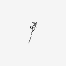 C#CC(CCC)(COC(=O)OCCCCCCCCCCCC)OC